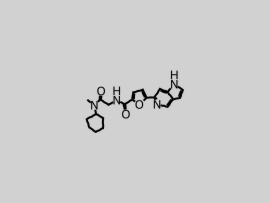 CN(C(=O)CNC(=O)c1ccc(-c2cc3[nH]ccc3cn2)o1)C1CCCCC1